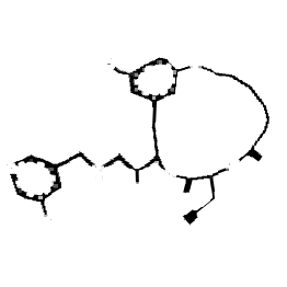 C#CCC1NC(=O)CCCCCOc2cc(F)cc(c2)CC(C(O)CNCc2cncc(CC)c2)NC1=O